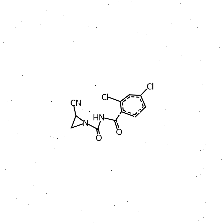 N#CC1CN1C(=O)NC(=O)c1ccc(Cl)cc1Cl